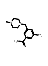 CN1CCN(Cc2cc(C(N)=O)cc(C(F)(F)F)c2)CC1